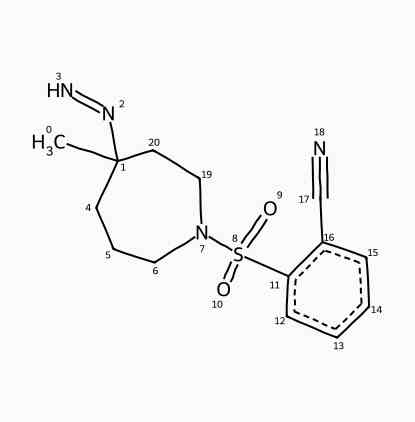 CC1(N=N)CCCN(S(=O)(=O)c2ccccc2C#N)CC1